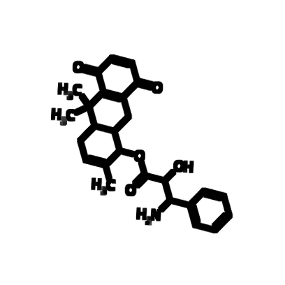 CC1=CCC2C(CC3=C(C(=O)C=CC3=O)C2(C)C)C1OC(=O)C(O)C(N)c1ccccc1